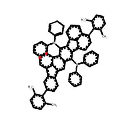 Cc1cccc(C)c1-c1ccc2c(c1)c1cccc3c4c(N(C5=CCCC=C5)c5ccccc5)c5c6cccc7c(-c8c(C)cccc8C)ccc(c5c(N(c5ccccc5)c5ccccc5)c4cc2c13)c76